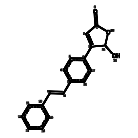 O=C1C=C(c2ccc(C=Cc3ccccc3)cc2)C(O)O1